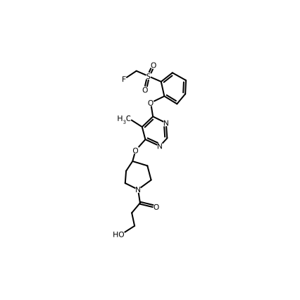 Cc1c(Oc2ccccc2S(=O)(=O)CF)ncnc1OC1CCN(C(=O)CCO)CC1